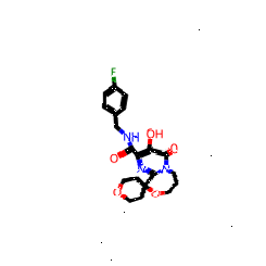 O=C(NCc1ccc(F)cc1)c1nc2n(c(=O)c1O)CCCOC21CCOCC1